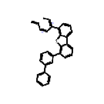 C=C/C=C\C(=C/C)c1cccc2c1sc1c(-c3cccc(-c4ccccc4)c3)cccc12